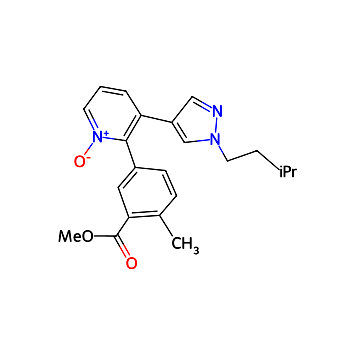 COC(=O)c1cc(-c2c(-c3cnn(CCC(C)C)c3)ccc[n+]2[O-])ccc1C